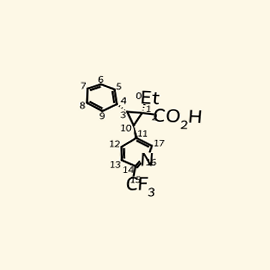 CC[C@@]1(C(=O)O)[C@@H](c2ccccc2)[C@@H]1c1ccc(C(F)(F)F)nc1